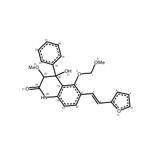 COCOc1c(C=Cc2ccco2)ccc2c1C(O)(c1ccccc1)C(OC)C(=O)N2